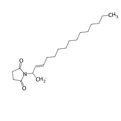 [CH2]C(C=CCCCCCCCCCCCC)N1C(=O)CCC1=O